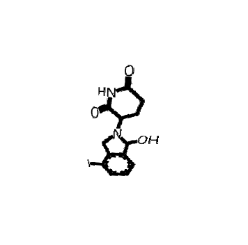 O=C1CCC(N2Cc3c(I)cccc3C2O)C(=O)N1